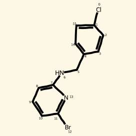 Clc1ccc(CNc2cccc(Br)n2)cc1